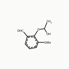 COc1cccc(C=O)c1OC(C)O